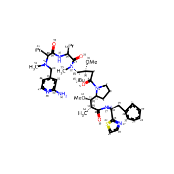 CC[C@H](C)[C@@H]([C@@H](CC(=O)N1CCCC1[C@H](OC)[C@@H](C)C(=O)N[C@@H](Cc1ccccc1)c1nccs1)OC)N(C)C(=O)C(NC(=O)C(C(C)C)N(C)Cc1ccnc(N)c1)C(C)C